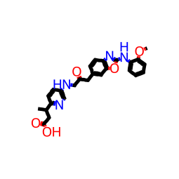 COc1ccccc1Nc1nc2ccc(CC(=O)CNc3ccc(C(C)CC(=O)O)nc3)cc2o1